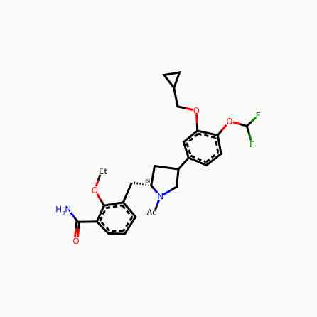 CCOc1c(C[C@@H]2CC(c3ccc(OC(F)F)c(OCC4CC4)c3)CN2C(C)=O)cccc1C(N)=O